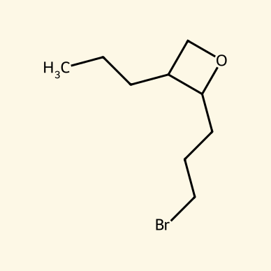 CCCC1COC1CCCBr